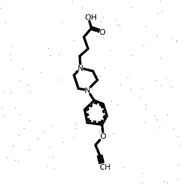 C#CCOc1ccc(N2CCN(CCCC(=O)O)CC2)cc1